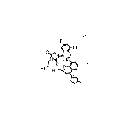 Cc1cc(-n2cc(F)cn2)c2cccc(OCc3c(Cl)cc(F)cc3[C@H](C)N3CC(=O)N(CCO)C3=O)c2n1